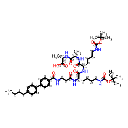 CCCCc1ccc(-c2ccc(C(=O)NCCC(=O)N[C@@H](CCCCNC(=O)OC(C)(C)C)C(=O)N[C@@H](CCCCNC(=O)OC(C)(C)C)C(=O)N[C@@H](C)C(=O)N[C@@H](C)C(=O)O)cc2)cc1